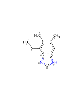 CCc1c(C)c(C)cc2[nH]cnc12